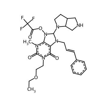 CCOCCn1c(=O)c2c(n(C)c1=O)N(OC(=O)C(F)(F)F)C(N1CCC3CNCC31)N2CC=Cc1ccccc1